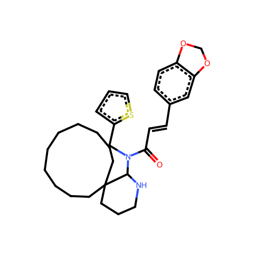 O=C(/C=C/c1ccc2c(c1)OCO2)N(Cc1cccs1)C1NCCCC12CCCCCCCCCC2